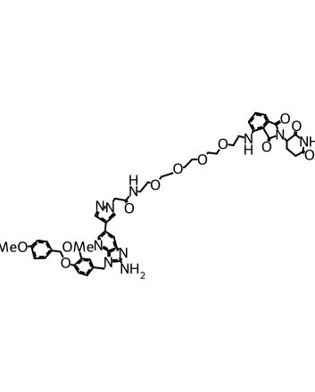 COc1ccc(COc2ccc(Cn3c(N)nc4cc(-c5cnn(CC(=O)NCCOCCOCCOCCOCCNc6cccc7c6C(=O)N(C6CCC(=O)NC6=O)C7=O)c5)cnc43)cc2OC)cc1